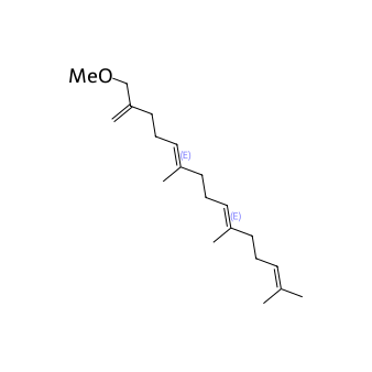 C=C(CC/C=C(\C)CC/C=C(\C)CCC=C(C)C)COC